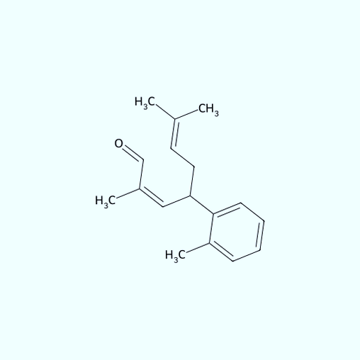 CC(C)=CCC(C=C(C)C=O)c1ccccc1C